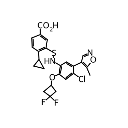 Cc1oncc1-c1cc(NSc2cc(C(=O)O)ccc2C2CC2)c(OC2CC(F)(F)C2)cc1Cl